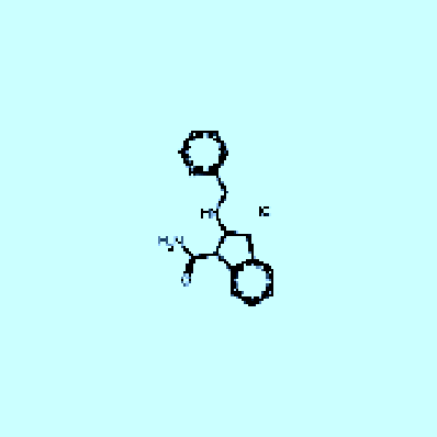 Cl.NC(=O)C1c2cc[c]cc2CC1NCc1ccccn1